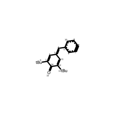 CC(C)(C)C1=CC(=Cc2cc#ccc2)C=C(C(C)(C)C)C1=O